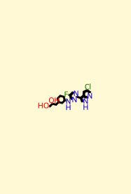 OCC(O)CC1CCC[C@H](Nc2nc(-c3c[nH]c4ncc(Cl)cc34)ncc2F)C1